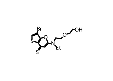 CCN(CCOCCO)c1cc(=S)c2scc(Br)c2o1